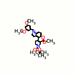 COC(=O)C1=C(c2cccc3c2ccn3Cc2cc(OC)cc(OC)c2)CCN(C(=O)OC(C)(C)C)C1